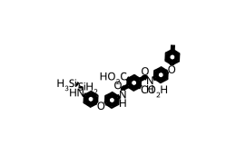 Cc1ccc(Oc2ccc(NC(=O)c3cc(C(=O)O)c(C(=O)Nc4ccc(Oc5ccc(N[SiH2][SiH3])cc5)cc4)cc3C(=O)O)cc2)cc1